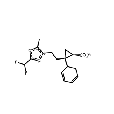 Cc1nc(C(F)F)nn1CC[C@@]1(C2C=CC=CC2)C[C@H]1C(=O)O